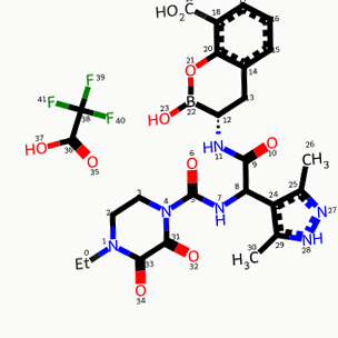 CCN1CCN(C(=O)NC(C(=O)N[C@H]2Cc3cccc(C(=O)O)c3OB2O)c2c(C)n[nH]c2C)C(=O)C1=O.O=C(O)C(F)(F)F